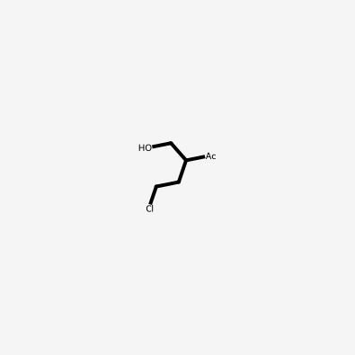 CC(=O)C(CO)CCCl